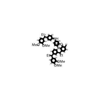 CCC(c1ccc(Nc2ccc(Nc3ccc(C(CC)c4ccc(OC)c(OC)c4)cc3C(CC)c3ccc(C)c(OC)c3)cc2)cc1)c1ccc(OC)c(OC)c1